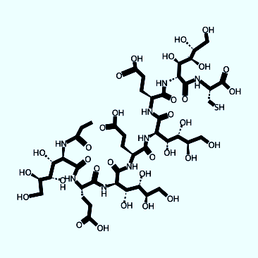 CCC(=O)N[C@@H](C(=O)N[C@@H](CCC(=O)O)C(=O)N[C@@H](C(=O)N[C@@H](CCC(=O)O)C(=O)N[C@@H](C(=O)N[C@@H](CCC(=O)O)C(=O)N[C@@H](C(=O)N[C@@H](CS)C(=O)O)[C@@H](O)[C@H](O)[C@H](O)CO)[C@@H](O)[C@H](O)[C@H](O)CO)[C@@H](O)[C@H](O)[C@H](O)CO)[C@@H](O)[C@H](O)[C@H](O)CO